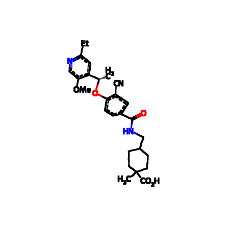 CCc1cc([C@H](C)Oc2ccc(C(=O)NCC3CCC(C)(C(=O)O)CC3)cc2C#N)c(OC)cn1